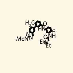 CCN(CC)CC(=O)Nc1cc(NC(=O)c2ccc(C)c(-c3ccc4nc(NC)ncc4c3)c2)ccc1F